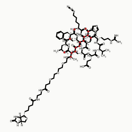 CC(C)C[C@H](NC(=O)[C@H](CC(N)=O)NC(=O)[C@H](Cc1ccccc1)NC(=O)[C@H](CC(C)C)NC(=O)[C@@H](NC(=O)CNC(=O)[C@H](CC(N)=O)NC(=O)[C@@H](N)CCCCN=[N+]=[N-])[C@@H](C)O)C(=O)N[C@@H](CO)C(=O)N[C@@H](CCC(=O)O)C(=O)N[C@H](C(=O)N[C@@H](CCCNC(=N)N)C(=O)N[C@@H](Cc1cnc[nH]1)C(=O)NCCOCCOCCOCCOCCOCCC(=O)NCCNC(=O)CCCC[C@@H]1SC[C@@H]2NC(=O)N[C@@H]21)C(C)C